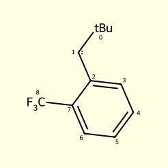 CC(C)(C)[C]c1ccccc1C(F)(F)F